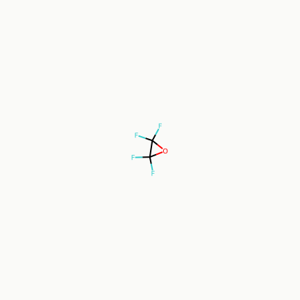 FC1(F)OC1(F)F